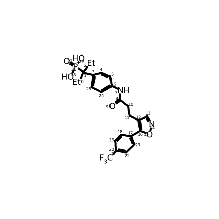 CCC(CC)(c1ccc(NC(=O)CCc2cnoc2-c2ccc(C(F)(F)F)cc2)cc1)P(=O)(O)O